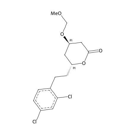 COCO[C@H]1CC(=O)O[C@H](CCc2ccc(Cl)cc2Cl)C1